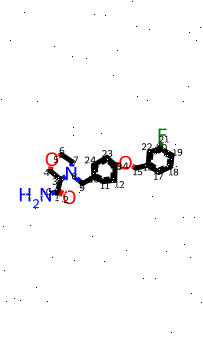 NC(=O)C1COCCN1Cc1ccc(OCc2cccc(F)c2)cc1